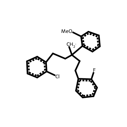 [CH2]C(CCc1ccccc1F)(CCc1ccccc1Cl)c1ccccc1OC